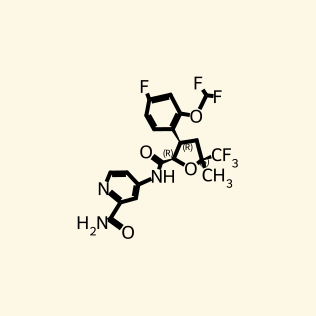 C[C@@]1(C(F)(F)F)C[C@H](c2ccc(F)cc2OC(F)F)[C@H](C(=O)Nc2ccnc(C(N)=O)c2)O1